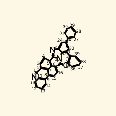 N#Cc1ccc2c3c1c(-c1ccccc1)ccc3c(=O)n1c2nc2cc(-c3ccccc3)cc(-c3ccccc3)c21